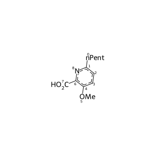 CCCCCc1ccc(OC)c(C(=O)O)n1